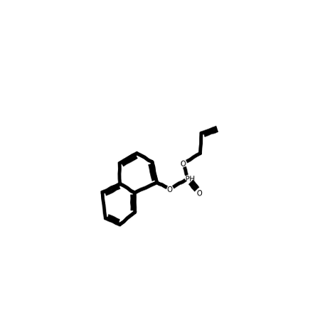 C=CCO[PH](=O)Oc1cccc2ccccc12